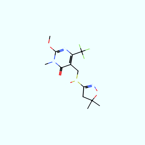 COc1nc(C(F)(F)F)c(C[S+]([O-])C2=NOC(C)(C)C2)c(=O)n1C